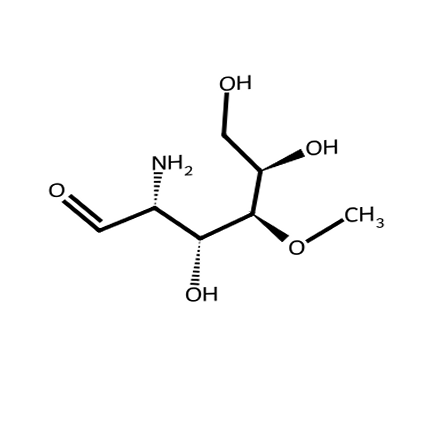 CO[C@@H]([C@H](O)[C@@H](N)C=O)[C@H](O)CO